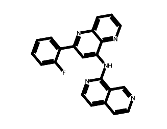 Fc1ccccc1-c1cc(Nc2nccc3ccncc23)c2ncccc2n1